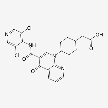 O=C(O)CC1CCC(n2cc(C(=O)Nc3c(Cl)cncc3Cl)c(=O)c3cccnc32)CC1